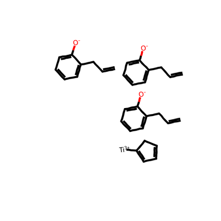 C=CCc1ccccc1[O-].C=CCc1ccccc1[O-].C=CCc1ccccc1[O-].[Ti+3][C]1=CC=CC1